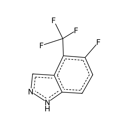 Fc1ccc2[nH]ncc2c1C(F)(F)F